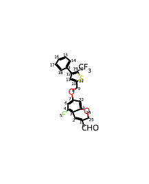 O=CC1=Cc2c(F)cc(OCc3cc(-c4ccccc4)c(C(F)(F)F)s3)cc2OC1